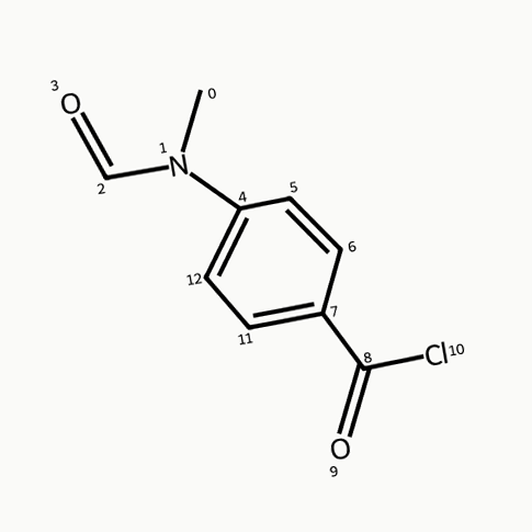 CN(C=O)c1ccc(C(=O)Cl)cc1